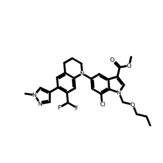 CCCOCn1cc(C(=O)OC)c2cc(N3CCCc4cc(-c5cnn(C)c5)c(C(F)F)cc43)cc(Cl)c21